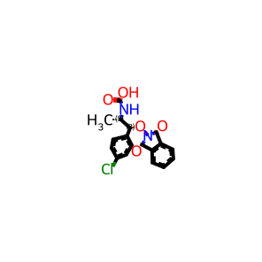 C[C@H](NC(=O)O)[C@H](ON1C(=O)c2ccccc2C1=O)c1ccc(Cl)cc1